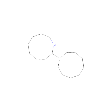 C1CCCCB(C2CCCCCCCN2)CCC1